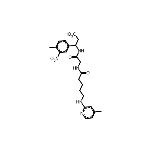 Cc1ccnc(NCCCCC(=O)NCC(=O)NC(CC(=O)O)c2ccc(C)c([N+](=O)[O-])c2)c1